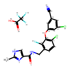 Cc1nc(C(=O)NCc2ccc(Cl)c(Oc3cc(Cl)cc(C#N)c3)c2F)c[nH]1.O=C(O)C(F)(F)F